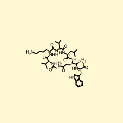 CC(=O)N[C@H](C(=O)N[C@@H](CCCCN)C(=O)N[C@H](C(=O)N[C@@H](CC(C)C)C(=O)N[C@@H](CCC(N)=O)C(=O)N[C@@H](Cc1c[nH]c2ccccc12)C(N)=O)C(C)C)C(C)C